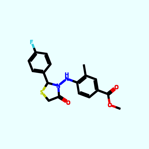 COC(=O)c1ccc(NN2C(=O)CSC2c2ccc(F)cc2)c(C)c1